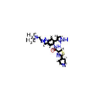 CN(C)CCn1cc2cc(NC(=O)c3csc(-c4ccncc4)n3)c(-c3cc[nH]n3)cc2n1